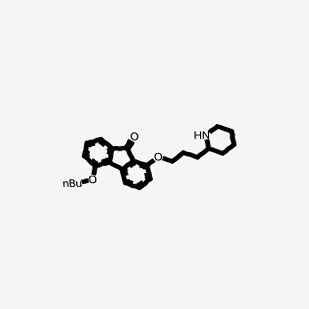 CCCCOc1cccc2c1-c1cccc(OCCCC3CCCCN3)c1C2=O